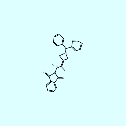 CC(=C1CN(C(c2ccccc2)c2ccccc2)C1)[C@@H](C)N1C(=O)c2ccccc2C1=O